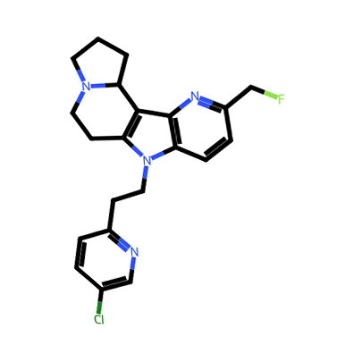 FCc1ccc2c(n1)c1c(n2CCc2ccc(Cl)cn2)CCN2CCCC12